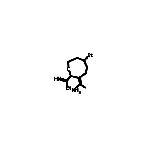 CCC(=N)C1CCCC(CC)CC/C1=C(\C)N